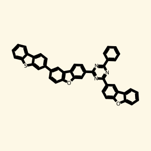 c1ccc(-c2nc(-c3ccc4c(c3)oc3ccc(-c5ccc6c(c5)sc5ccccc56)cc34)nc(-c3ccc4oc5ccccc5c4c3)n2)cc1